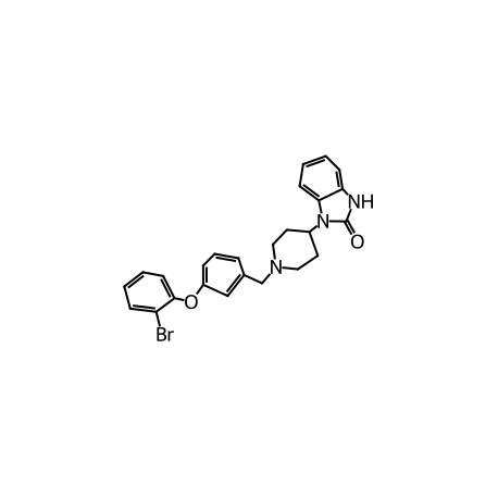 O=c1[nH]c2ccccc2n1C1CCN(Cc2cccc(Oc3ccccc3Br)c2)CC1